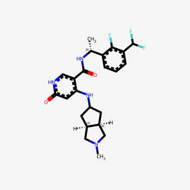 C[C@@H](NC(=O)c1c[nH]c(=O)cc1NC1C[C@@H]2CN(C)C[C@@H]2C1)c1cccc(C(F)F)c1F